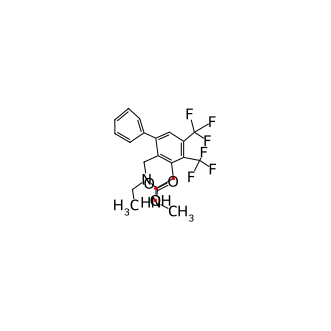 CCN(Cc1c(-c2ccccc2)cc(C(F)(F)F)c(C(F)(F)F)c1CC(=O)O)C(=O)NC